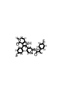 CC(C(=O)Nc1cc(-c2[nH]c3ccn(C)c(=O)c3c2-c2ccc(F)cc2)ccn1)c1ccc(F)cc1